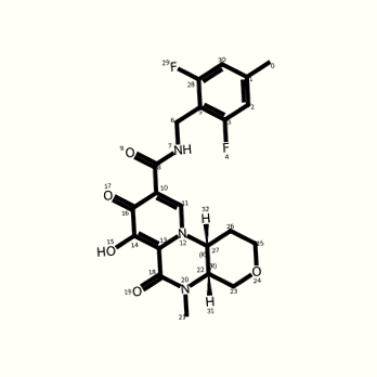 Cc1cc(F)c(CNC(=O)c2cn3c(c(O)c2=O)C(=O)N(C)[C@H]2COCC[C@H]23)c(F)c1